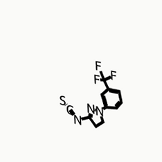 FC(F)(F)c1cccc(N2CCC(N=C=S)=N2)c1